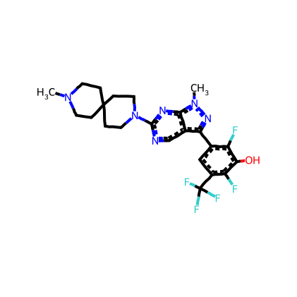 CN1CCC2(CC1)CCN(c1ncc3c(-c4cc(C(F)(F)F)c(F)c(O)c4F)nn(C)c3n1)CC2